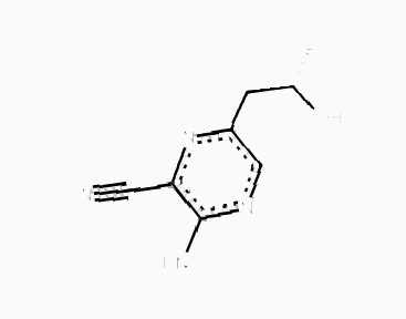 C[C@H](O)Cc1cnc(N)c(C#N)n1